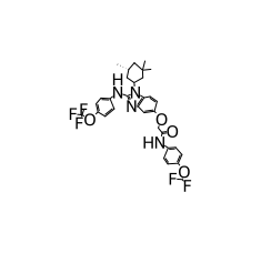 C[C@H]1C[C@H](n2c(Nc3ccc(OC(F)(F)F)cc3)nc3cc(OCC(=O)Nc4ccc(OC(F)F)cc4)ccc32)CC(C)(C)C1